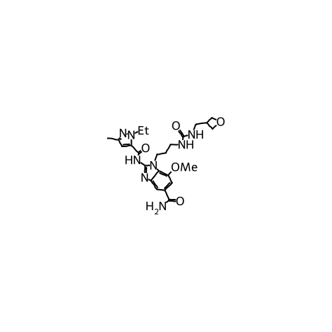 CCn1nc(C)cc1C(=O)Nc1nc2cc(C(N)=O)cc(OC)c2n1CCCNC(=O)NCC1COC1